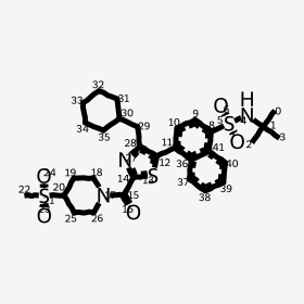 CC(C)(C)NS(=O)(=O)c1ccc(-c2sc(C(=O)N3CCC(S(C)(=O)=O)CC3)nc2CC2CCCCC2)c2ccccc12